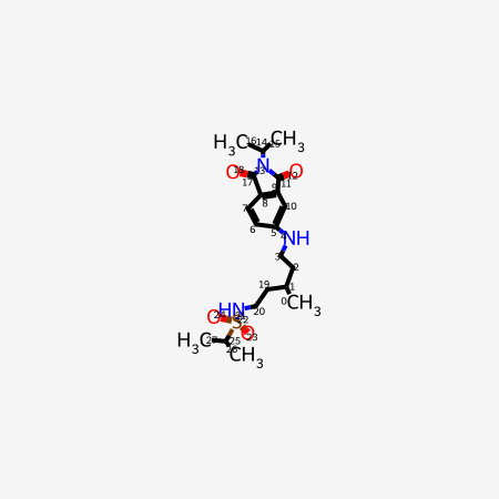 CC(CCNc1ccc2c(c1)C(=O)N(C(C)C)C2=O)CCNS(=O)(=O)C(C)C